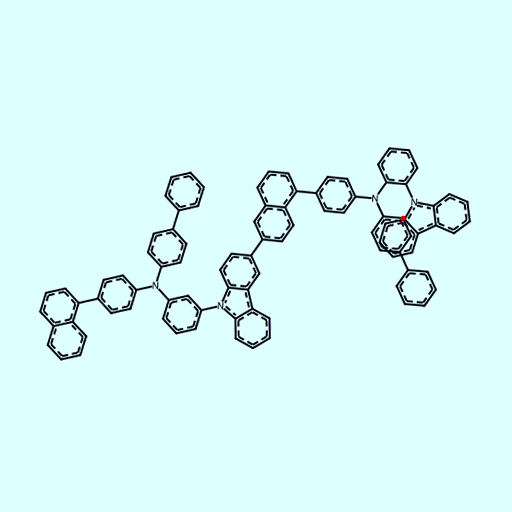 c1ccc(-c2ccc(N(c3ccc(-c4cccc5ccccc45)cc3)c3cccc(-n4c5ccccc5c5cc(-c6ccc7c(-c8ccc(N(c9ccc(-c%10ccccc%10)cc9)c9ccccc9-n9c%10ccccc%10c%10ccccc%109)cc8)cccc7c6)ccc54)c3)cc2)cc1